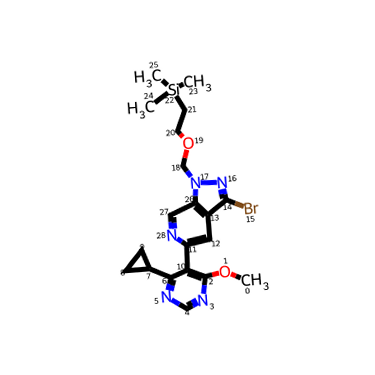 COc1ncnc(C2CC2)c1-c1cc2c(Br)nn(COCC[Si](C)(C)C)c2cn1